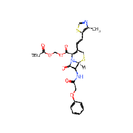 Cc1ncsc1C=CC1=C(C(=O)OCOC(=O)C(C)(C)C)N2C(=O)C(NC(=O)COc3ccccc3)[C@@H]2SC1